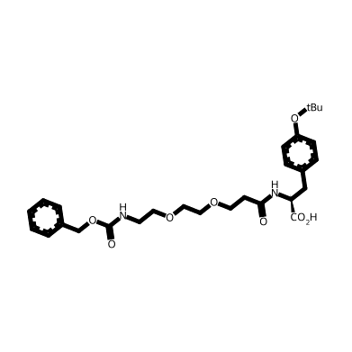 CC(C)(C)Oc1ccc(C[C@H](NC(=O)CCOCCOCCNC(=O)OCc2ccccc2)C(=O)O)cc1